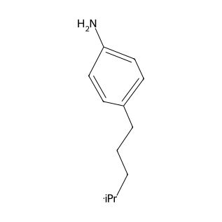 C[C](C)CCCc1ccc(N)cc1